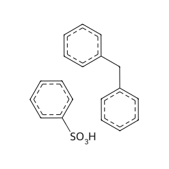 O=S(=O)(O)c1ccccc1.c1ccc(Cc2ccccc2)cc1